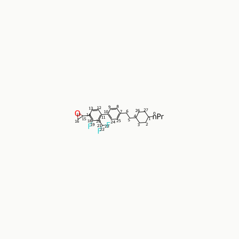 CCCC1CCC(CCc2ccc(-c3ccc(C4CO4)c(F)c3C(F)F)cc2)CC1